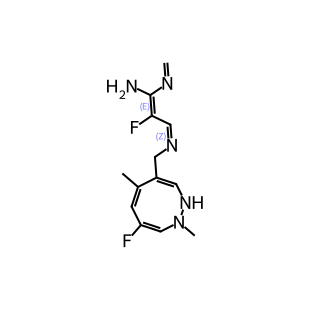 C=N/C(N)=C(F)\C=N/Cc1c[nH]n(C)cc(F)cc1C